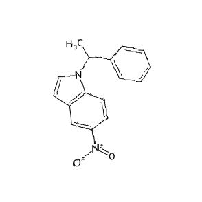 CC(c1ccccc1)n1ccc2cc([N+](=O)[O-])ccc21